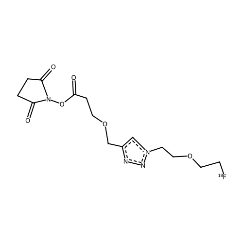 O=C(CCOCc1cn(CCOCC[18F])nn1)ON1C(=O)CCC1=O